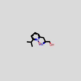 CC(C)c1cccc(CC(=N)CO)[n+]1[O-]